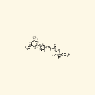 CC1N(C(=O)C=Cn2cnc(-c3cc(C(F)(F)F)cc(C(F)(F)F)c3)n2)CC1(F)C(=O)O